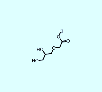 O=C(COCC(O)CO)OCl